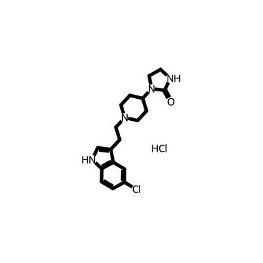 Cl.O=C1NCCN1C1CCN(CCc2c[nH]c3ccc(Cl)cc23)CC1